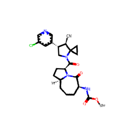 CC(C)(C)OC(=O)N[C@H]1CCC[C@H]2CC[C@@H](C(=O)N3C[C@H](c4cncc(Cl)c4)[C@@H](C#N)C34CC4)N2C1=O